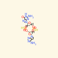 Nc1nc2c(ncn2[C@@H]2O[C@@H]3CO[P@@](=O)(S)O[C@H]4C[C@H](n5ccc6c(N)ncnc65)OC4CO[P@@](=O)(S)O[C@@H]2C3)c(=O)[nH]1